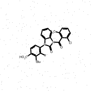 CC(C)(C)c1c(C(=O)O)ccc(-n2c(=O)n(C(=O)c3c(Cl)cccc3C(F)(F)F)c3ccccc32)c1F